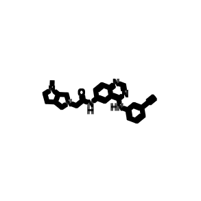 C#Cc1cccc(Nc2ncnc3ccc(NC(=O)CN4CC5CCN(C)C5C4)cc23)c1